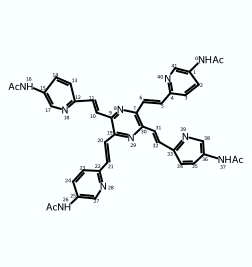 CC(=O)Nc1ccc(C=Cc2nc(C=Cc3ccc(NC(C)=O)cn3)c(C=Cc3ccc(NC(C)=O)cn3)nc2C=Cc2ccc(NC(C)=O)cn2)nc1